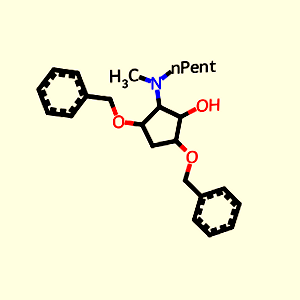 CCCCCN(C)C1C(OCc2ccccc2)CC(OCc2ccccc2)C1O